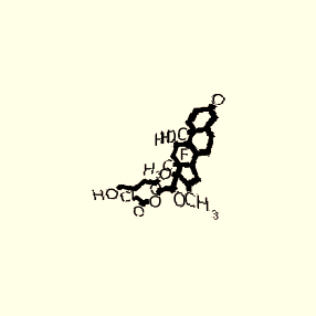 CC1CC2C3CCC4=CC(=O)C=CC4(C)C3(F)C(O)CC2(C)C1(OC(=O)CCCO)C(=O)COC(=O)Cl